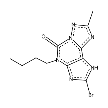 CCCCn1c(=O)n2nc(C)nc2c2[nH]c(Br)nc21